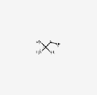 NC(N)(N)CO